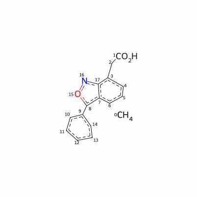 C.O=C(O)Cc1cccc2c(-c3ccccc3)onc12